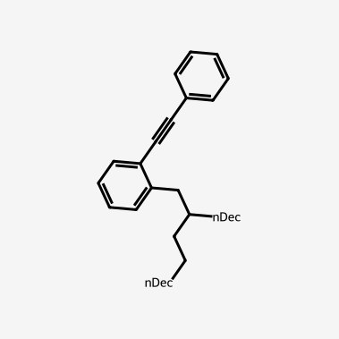 CCCCCCCCCCCCC(CCCCCCCCCC)Cc1ccccc1C#Cc1ccccc1